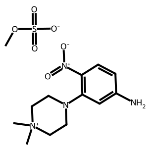 COS(=O)(=O)[O-].C[N+]1(C)CCN(c2cc(N)ccc2[N+](=O)[O-])CC1